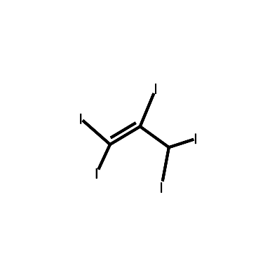 IC(I)=C(I)C(I)I